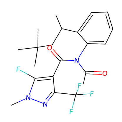 CC(=O)N(C(=O)c1c(C(F)(F)F)nn(C)c1F)c1ccccc1C(C)CC(C)(C)C